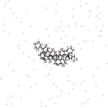 CC1(C)c2ccccc2-c2ccc(N(c3ccc(-c4ccc(C5CCCCC5)cc4)cc3)c3c(-c4ccc5c(c4)sc4ccccc45)ccc4ccccc34)cc21